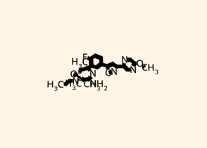 CCCN=S1(=O)C[C@@](C)(c2cc(-c3cc(-c4cnc(OC)cn4)no3)ccc2F)N=C(N)C1(C)C